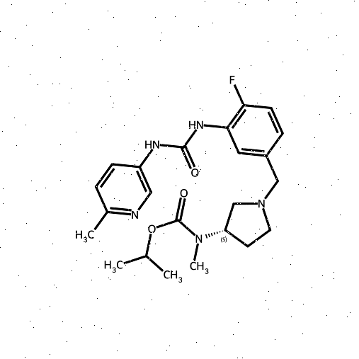 Cc1ccc(NC(=O)Nc2cc(CN3CC[C@H](N(C)C(=O)OC(C)C)C3)ccc2F)cn1